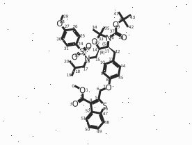 COC(=O)c1c(COc2ccc(C[C@H]3[C@@H](CN(CC(C)C)S(=O)(=O)c4ccc(OC)cc4)OC(C)(C)N3C(=O)OC(C)(C)C)cc2)sc2ccccc12